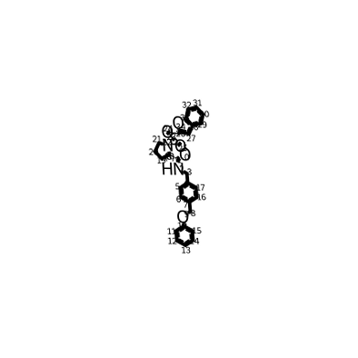 O=C(NCc1ccc(COc2ccccc2)cc1)[C@@H]1CCCN1S(=O)(=O)c1cc2ccccc2o1